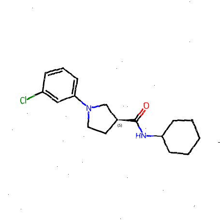 O=C(NC1CCCCC1)[C@H]1CCN(c2cccc(Cl)c2)C1